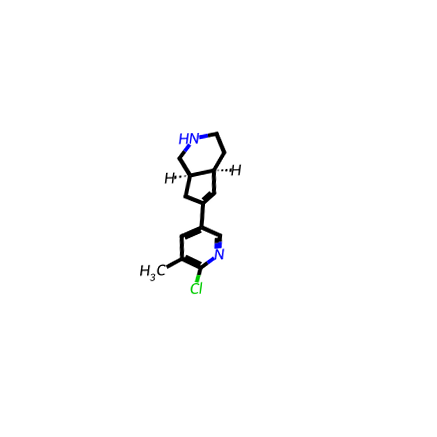 Cc1cc(C2=C[C@@H]3CCNC[C@@H]3C2)cnc1Cl